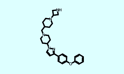 c1ccc(Oc2ccc(-c3ccn(C4CCN(CC5CCN(C6CNC6)CC5)CC4)n3)cc2)cc1